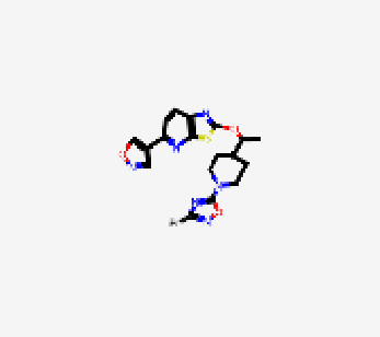 CC(C)c1noc(N2CCC(C(C)Oc3nc4ccc(-c5cnoc5)nc4s3)CC2)n1